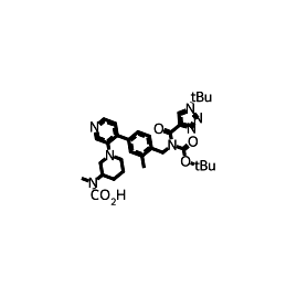 Cc1cc(-c2ccncc2N2CCCC(N(C)C(=O)O)C2)ccc1CN(C(=O)OC(C)(C)C)C(=O)c1cn(C(C)(C)C)nn1